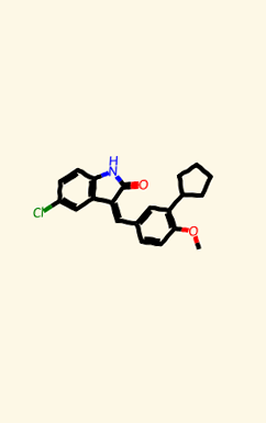 COc1ccc(C=C2C(=O)Nc3ccc(Cl)cc32)cc1C1CCCC1